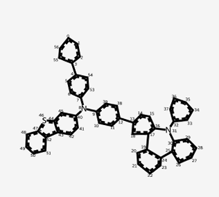 c1ccc(-c2ccc(N(c3ccc(-c4ccc5c(c4)-c4ccccc4-c4ccccc4N5c4ccccc4)cc3)c3ccc4c(c3)sc3ccccc34)cc2)cc1